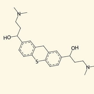 CN(C)CCC(O)c1ccc2c(c1)Cc1cc(C(O)CCN(C)C)ccc1S2